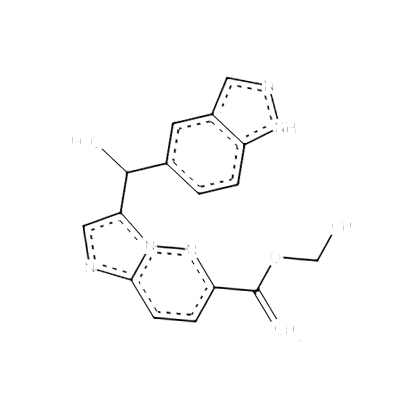 C=C(OCC)c1ccc2ncc(C(C)c3ccc4[nH]ncc4c3)n2n1